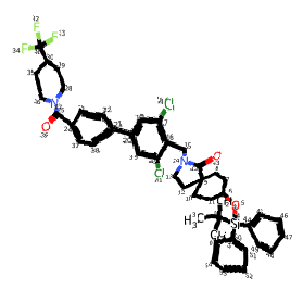 CC(C)(C)[Si](OC1CCC2(CC1)CCN(Cc1c(Cl)cc(-c3ccc(C(=O)N4CCC(C(F)(F)F)CC4)cc3)cc1Cl)C2=O)(c1ccccc1)c1ccccc1